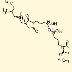 CCC(C)/C=C(\C)CC1CC(=O)N(CCC[SiH](O)O[SiH](O)CCCN2C(=O)CC(C/C(C)=C/C(C)CC)C2=O)C1=O